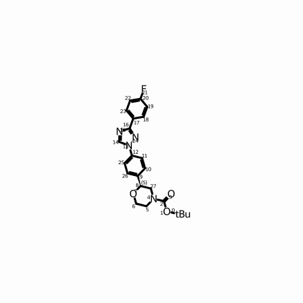 CC(C)(C)OC(=O)N1CCO[C@@H](c2ccc(-n3cnc(-c4ccc(F)cc4)n3)cc2)C1